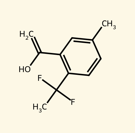 C=C(O)c1cc(C)ccc1C(C)(F)F